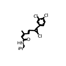 CC(=C/C(=O)NCC(C)C)/C=C/C1C(Cl)C1c1ccc(Cl)c(Cl)c1